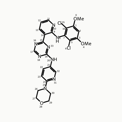 COc1cc(OC)c(Cl)c(Nc2ncccc2-c2ncnc(Nc3ccc(N4CCOCC4)nc3)n2)c1Cl